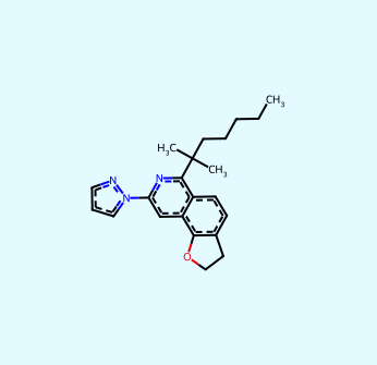 CCCCCC(C)(C)c1nc(-n2cccn2)cc2c3c(ccc12)CCO3